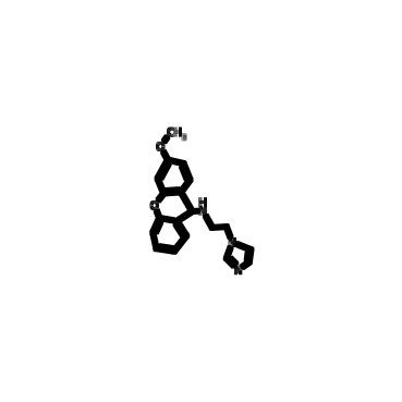 COc1ccc2c(c1)Oc1ccccc1C2NCCn1ccnc1